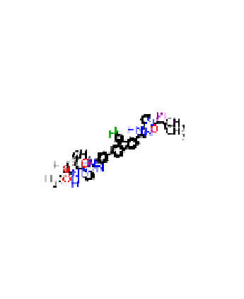 CC[C@H](C)C(P)C(=O)N1CCC[C@H]1c1ncc(-c2ccc3c(c2)C2(CC(F)(F)C2)c2cc(-c4ccc5[nH]c([C@@H]6CCCN6C(=O)[C@@H](NC(=O)OC)[C@@H](C)CC)nc5c4)ccc2-3)[nH]1